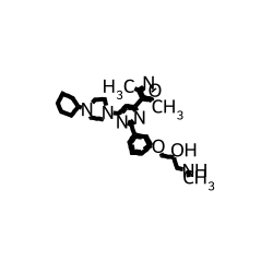 CNCC(O)COc1cccc(-c2nc(-c3c(C)noc3C)cc(N3CCN(C4CCCCC4)CC3)n2)c1